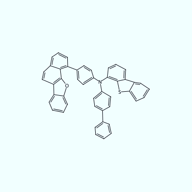 c1ccc(-c2ccc(N(c3ccc(-c4cccc5ccc6c7ccccc7oc6c45)cc3)c3cccc4c3sc3ccccc34)cc2)cc1